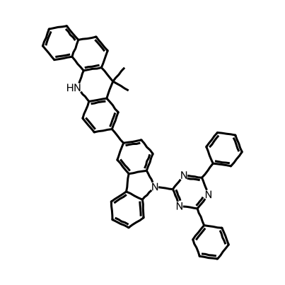 CC1(C)c2cc(-c3ccc4c(c3)c3ccccc3n4-c3nc(-c4ccccc4)nc(-c4ccccc4)n3)ccc2Nc2c1ccc1ccccc21